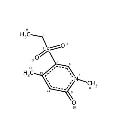 CCS(=O)(=O)c1cn(C)c(=O)cc1C